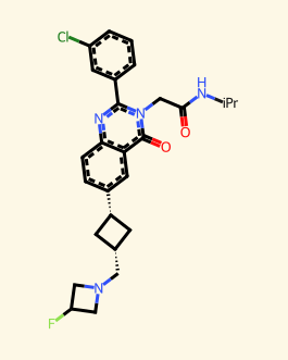 CC(C)NC(=O)Cn1c(-c2cccc(Cl)c2)nc2ccc([C@H]3C[C@@H](CN4CC(F)C4)C3)cc2c1=O